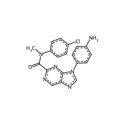 CN(C(=O)c1ncc2ncn(-c3ccc(N)cc3)c2n1)c1ccc(Cl)cc1